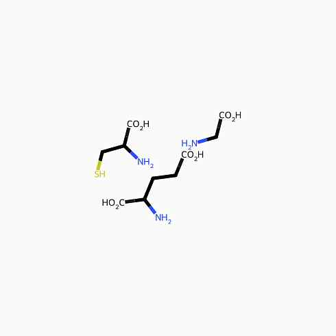 NC(CCC(=O)O)C(=O)O.NC(CS)C(=O)O.NCC(=O)O